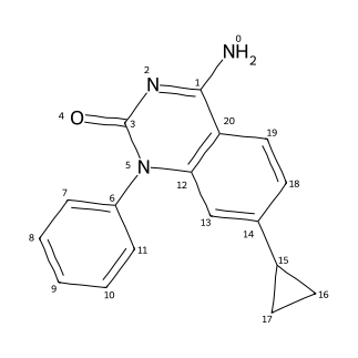 Nc1nc(=O)n(-c2ccccc2)c2cc(C3CC3)ccc12